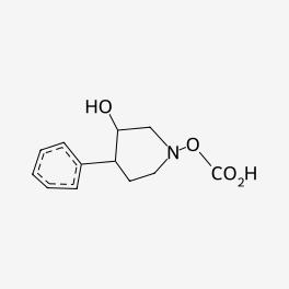 O=C(O)ON1CCC(c2ccccc2)C(O)C1